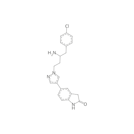 NC(CCn1cc(-c2ccc3c(c2)CC(=O)N3)cn1)Cc1ccc(Cl)cc1